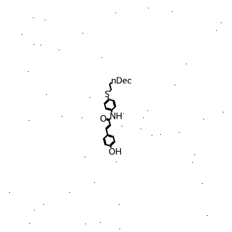 CCCCCCCCCCCCSc1ccc(NC(=O)C=Cc2ccc(O)cc2)cc1